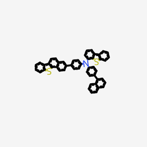 c1ccc2c(-c3ccc(N(c4ccc(-c5ccc6c(ccc7c8ccccc8sc67)c5)cc4)c4cccc5c4sc4ccccc45)cc3)cccc2c1